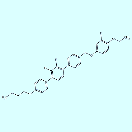 CCCCCc1ccc(-c2ccc(-c3ccc(COc4ccc(OCC)c(F)c4)cc3)c(F)c2F)cc1